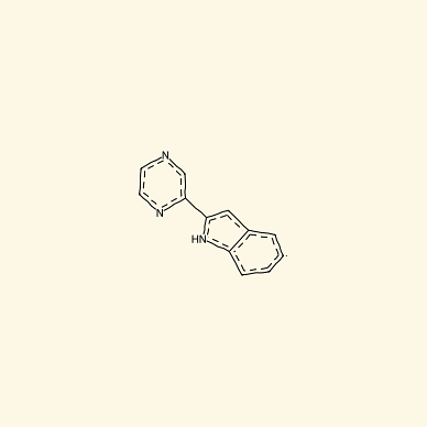 [c]1ccc2[nH]c(-c3cnccn3)cc2c1